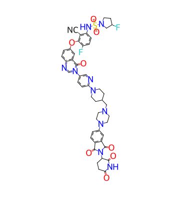 N#Cc1c(NS(=O)(=O)N2CC[C@@H](F)C2)ccc(F)c1Oc1ccc2ncn(-c3ccc(N4CCC(CN5CCN(c6ccc7c(c6)C(=O)N(C6CCC(=O)NC6=O)C7=O)CC5)CC4)nc3)c(=O)c2c1